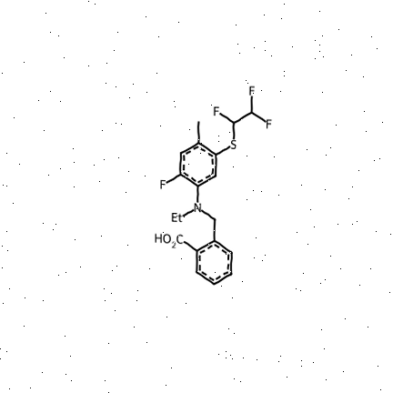 CCN(Cc1ccccc1C(=O)O)c1cc(SC(F)C(F)F)c(C)cc1F